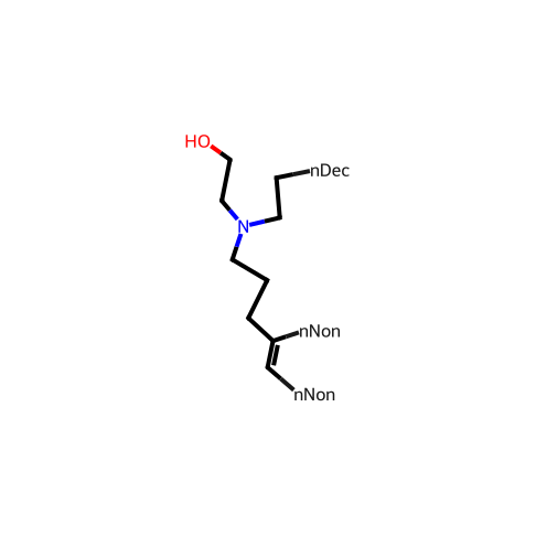 CCCCCCCCC/C=C(\CCCCCCCCC)CCCN(CCO)CCCCCCCCCCCC